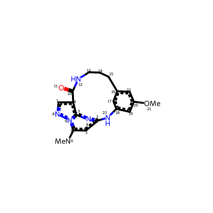 CNc1cc2nc3c(cnn13)C(=O)NCCCc1cc(cc(OC)c1)N2